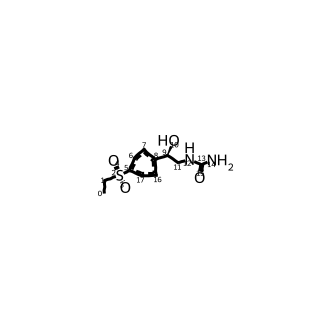 CCS(=O)(=O)c1ccc([C@@H](O)CNC(N)=O)cc1